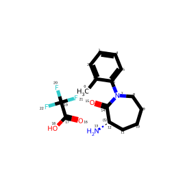 Cc1ccccc1N1CCCC[C@H](N)C1=O.O=C(O)C(F)(F)F